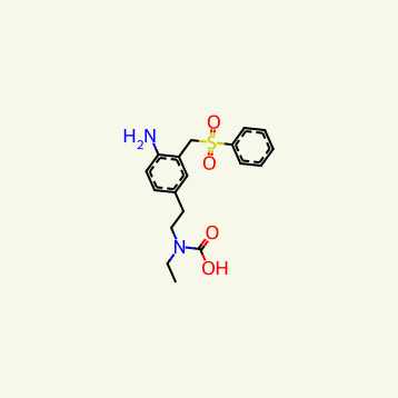 CCN(CCc1ccc(N)c(CS(=O)(=O)c2ccccc2)c1)C(=O)O